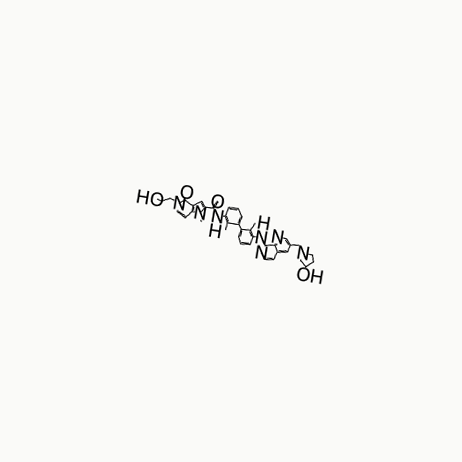 Cc1c(NC(=O)c2cc3c(=O)n(CCO)ccc3n2C)cccc1-c1cccc(Nc2nccc3cc(CN4CC[C@@H](O)C4)cnc23)c1C